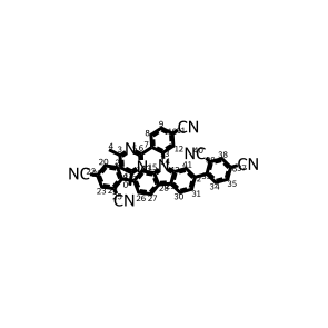 Cc1cc(C)nc(-c2ccc(C#N)cc2-n2c3cc(-c4ccc(C#N)cc4C#N)ccc3c3ccc(-c4ccc(C#N)cc4C#N)cc32)n1